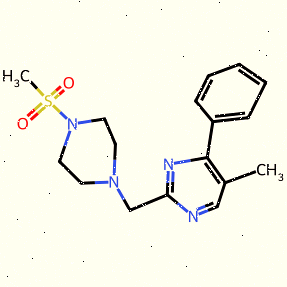 Cc1cnc(CN2CCN(S(C)(=O)=O)CC2)nc1-c1ccccc1